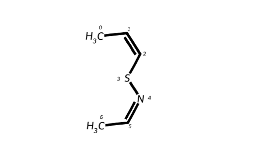 C/C=C\S/N=C\C